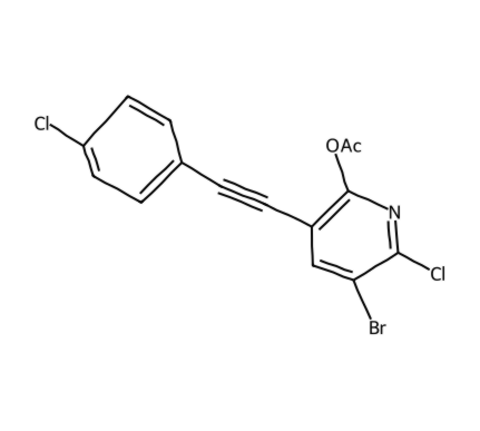 CC(=O)Oc1nc(Cl)c(Br)cc1C#Cc1ccc(Cl)cc1